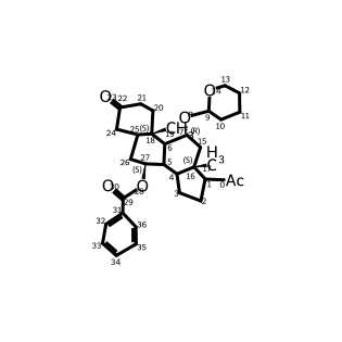 CC(=O)C1CCC2C3C([C@H](OC4CCCCO4)C[C@]12C)[C@@]1(C)CCC(=O)CC1C[C@@H]3OC(=O)c1ccccc1